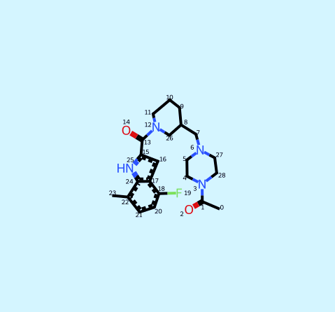 CC(=O)N1CCN(CC2CCCN(C(=O)c3cc4c(F)ccc(C)c4[nH]3)C2)CC1